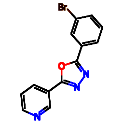 Brc1cccc(-c2nnc(-c3cccnc3)o2)c1